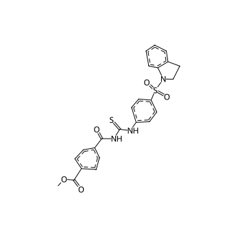 COC(=O)c1ccc(C(=O)NC(=S)Nc2ccc(S(=O)(=O)N3CCc4ccccc43)cc2)cc1